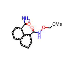 COCONC(=O)c1cccc2cccc(C(N)=O)c12